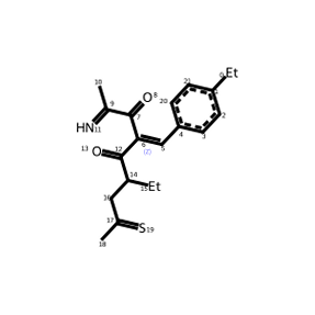 CCc1ccc(/C=C(\C(=O)C(C)=N)C(=O)C(CC)CC(C)=S)cc1